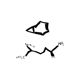 NC(=O)CCC(N)C(=O)O.c1ccc2c(c1)C2